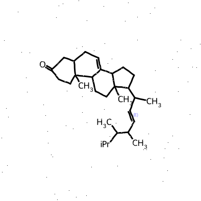 CC(C)C(C)C(C)/C=C/C(C)C1CCC2C3=CCC4CC(=O)CCC4(C)C3CCC21C